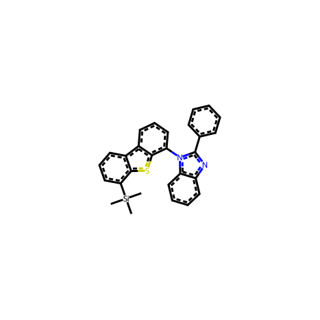 C[Si](C)(C)c1cccc2c1sc1c(-n3c(-c4ccccc4)nc4ccccc43)cccc12